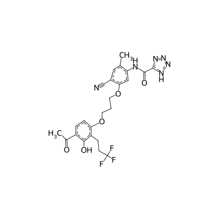 CC(=O)c1ccc(OCCCOc2cc(NC(=O)c3nnn[nH]3)c(C)cc2C#N)c(CCC(F)(F)F)c1O